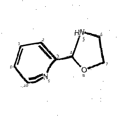 c1ccc([C]2NCCO2)nc1